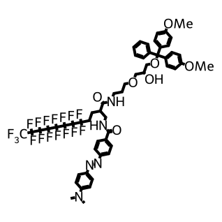 COc1ccc(C(OCC(O)COCCCNC(=O)C(CCC(F)(F)C(F)(F)C(F)(F)C(F)(F)C(F)(F)C(F)(F)C(F)(F)C(F)(F)F)CNC(=O)c2ccc(N=Nc3ccc(N(C)C)cc3)cc2)(c2ccccc2)c2ccc(OC)cc2)cc1